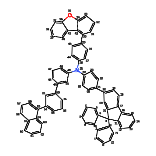 c1ccc(C2(c3ccccc3)c3ccccc3-c3ccc(-c4ccc(N(c5ccc(-c6cccc7oc8ccccc8c67)cc5)c5cccc(-c6cccc(-c7cccc8ccccc78)c6)c5)cc4)cc32)cc1